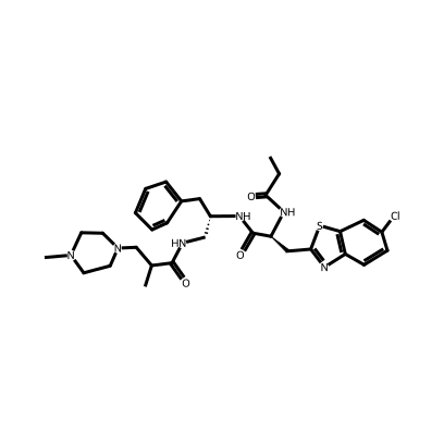 CCC(=O)N[C@@H](Cc1nc2ccc(Cl)cc2s1)C(=O)N[C@H](CNC(=O)C(C)CN1CCN(C)CC1)Cc1ccccc1